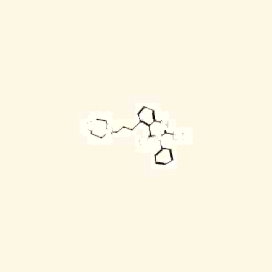 CCc1nc2cccc(CCCN3CCOCC3)c2c(=O)n1-c1ccccc1